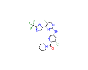 CN1C(C(F)(F)F)=NCC1c1nc(Nc2cnc(C(=O)N3CCCCC3)c(Cl)c2)ncc1F